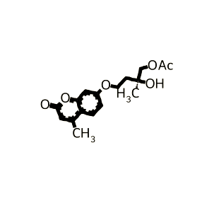 CC(=O)OC[C@@](C)(O)CCOc1ccc2c(C)cc(=O)oc2c1